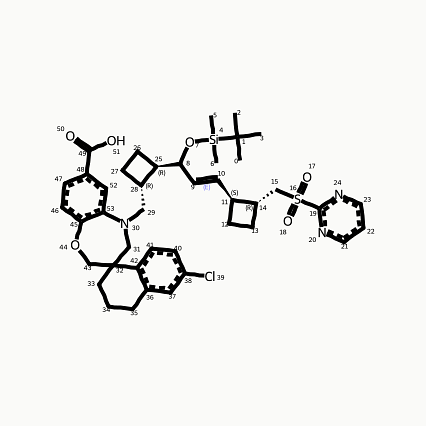 CC(C)(C)[Si](C)(C)OC(/C=C/[C@@H]1CC[C@H]1CS(=O)(=O)c1ncccn1)[C@@H]1CC[C@H]1CN1CC2(CCCc3cc(Cl)ccc32)COc2ccc(C(=O)O)cc21